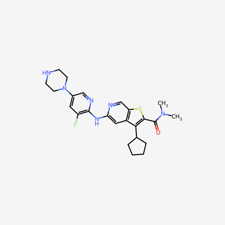 CN(C)C(=O)c1sc2cnc(Nc3ncc(N4CCNCC4)cc3F)cc2c1C1CCCC1